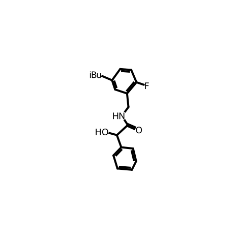 CCC(C)c1ccc(F)c(CNC(=O)C(O)c2ccccc2)c1